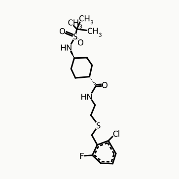 CC(C)(C)S(=O)(=O)N[C@H]1CC[C@H](C(=O)NCCSCc2c(F)cccc2Cl)CC1